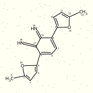 Cc1ccc(C2=CC=C(c3ccc(C)o3)C(=N)C2=N)o1